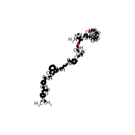 CCN(CC)c1ccc2cc(-c3nc4cc(C(=O)NCCN(CCCC(=O)NCCCCCNC(=O)c5cccc(OCC(N=[N+]=[N-])OCC(=O)NCC#Cc6cn([C@H]7CC(OCN=[N+]=[N-])[C@@H](COP(=O)(O)OP(=O)(O)OP(=O)(O)O)O7)c7ncnc(N)c67)c5)C(=O)C5=C/C=C\C=C/C=C\5)ccc4o3)c(=O)oc2c1